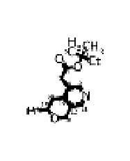 CCC(C)(C)OC(=O)Cc1cncc2c1CC(C(C)C)OC2